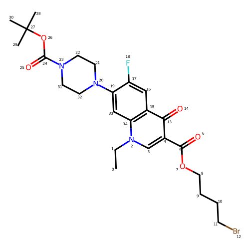 CCn1cc(C(=O)OCCCCBr)c(=O)c2cc(F)c(N3CCN(C(=O)OC(C)(C)C)CC3)cc21